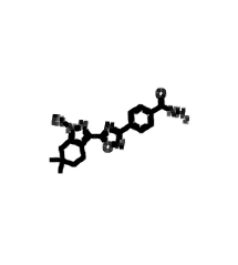 CCn1nc(-c2nc(-c3ccc(C(N)=O)cc3)no2)c2c1CC(C)(C)CC2